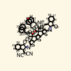 N#CC(C#N)=C1/C(=N/c2cc3c(s2)-c2sc4c(c2C3(C(=O)OCc2ccccc2)C(=O)OCc2ccccc2)C(C(=O)OCc2ccccc2)(C(=O)OCc2ccccc2)c2cc(/N=C3/C(=O)c5ccccc5C3=C(C#N)C#N)sc2-4)C(=O)c2ccccc21